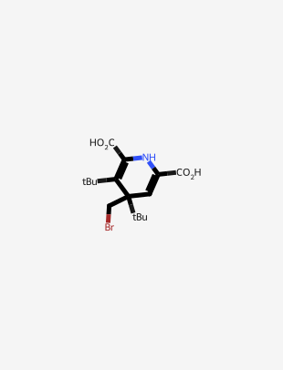 CC(C)(C)C1=C(C(=O)O)NC(C(=O)O)=CC1(CBr)C(C)(C)C